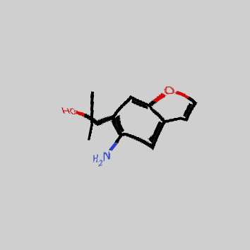 CC(C)(O)c1cc2occc2cc1N